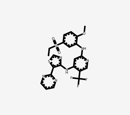 CCS(=O)(=O)c1ccc(OC)c(Nc2cc(Nc3ncsc3-c3ncccn3)c(C(F)(F)F)cn2)c1